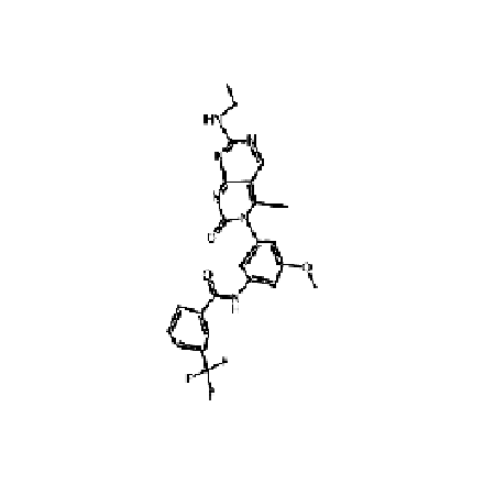 CCNc1ncc2c(C)n(-c3cc(NC(=O)c4cccc(C(F)(F)F)c4)cc(OC)c3)c(=O)nc2n1